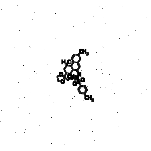 Cc1ccc(S(=O)(=O)N/N=C2/C=C3CC(C)C=C[C@]3(C)C3CC[C@@]4(C)C(CCC45OCCO5)C23)cc1